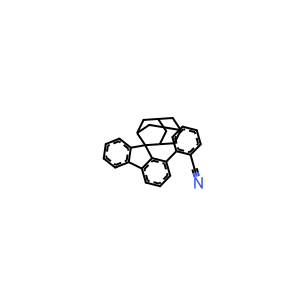 N#Cc1ccccc1-c1cccc2c1C1(c3ccccc3-2)C2CC3CC(C2)CC1C3